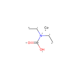 CCN(CC)C(=O)O.[Co]